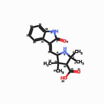 CC1(C)NC(/C=C2\C(=O)Nc3ccccc32)C(C)(C)C1C(=O)O